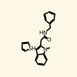 Cn1c(CC(=O)NCc2ccccc2)c([SH]2C=CC=C2)c2ccccc21